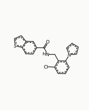 O=C(NCc1c(Cl)cccc1-n1cccc1)c1ccc2sccc2c1